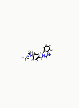 CN(C)c1ccc(CN2C=Nc3ccccc3C2)cc1